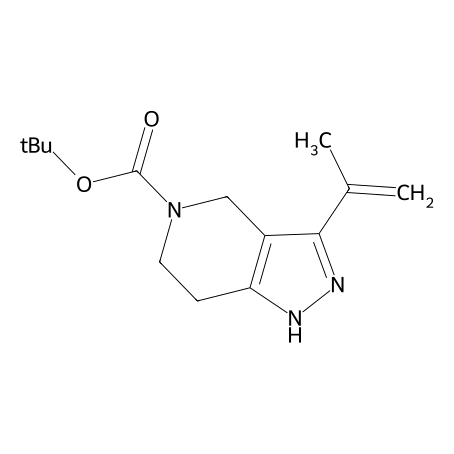 C=C(C)c1n[nH]c2c1CN(C(=O)OC(C)(C)C)CC2